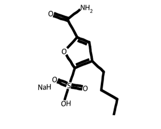 CCCCc1cc(C(N)=O)oc1S(=O)(=O)O.[NaH]